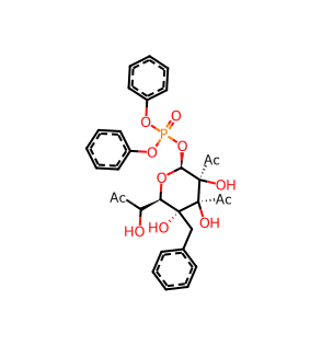 CC(=O)C(O)[C@H]1O[C@@H](OP(=O)(Oc2ccccc2)Oc2ccccc2)[C@](O)(C(C)=O)[C@](O)(C(C)=O)[C@@]1(O)Cc1ccccc1